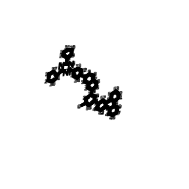 Cc1cc(-c2ccc3ccc(-c4ccc(C5N=C(c6ccccc6)N=C(c6ccccc6)N5)cc4)cc3c2)cc(-c2ccc3c4ccccc4c4ccccc4c3c2)c1